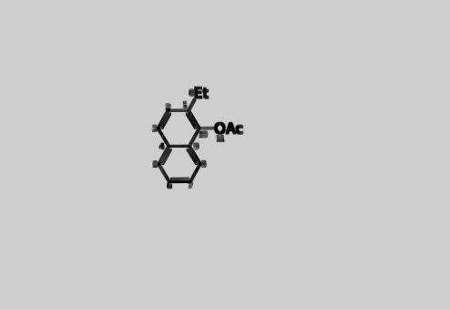 CCc1ccc2ccccc2c1OC(C)=O